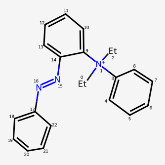 CC[N+](CC)(c1ccccc1)c1ccccc1N=Nc1ccccc1